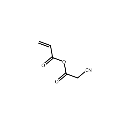 C=CC(=O)OC(=O)CC#N